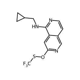 FC(F)(F)SOc1cc2c(NCC3CC3)nccc2cn1